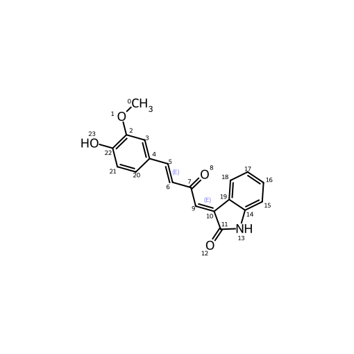 COc1cc(/C=C/C(=O)/C=C2/C(=O)Nc3ccccc32)ccc1O